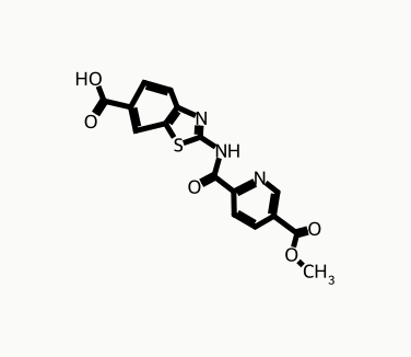 COC(=O)c1ccc(C(=O)Nc2nc3ccc(C(=O)O)cc3s2)nc1